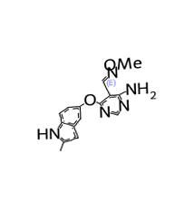 CO/N=C/c1c(N)ncnc1Oc1ccc2[nH]c(C)cc2c1